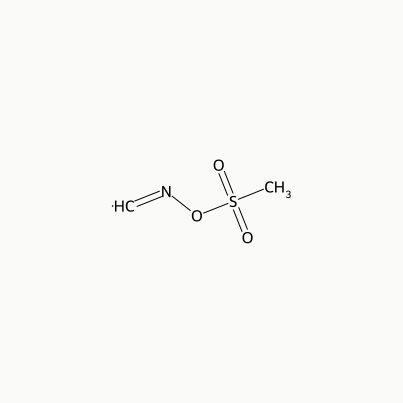 [CH]=NOS(C)(=O)=O